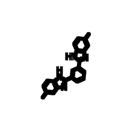 Cc1ccc2[nH]c(-c3cccc(-c4nc5cc(C)ccc5[nH]4)c3)nc2c1